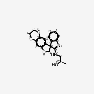 C[C@@H](O)CNC1=Nc2ccccc2C12COc1cc3c(cc12)OCCO3